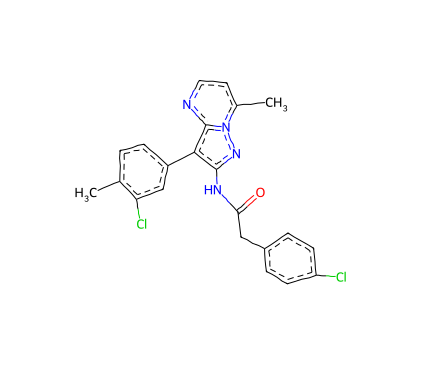 Cc1ccc(-c2c(NC(=O)Cc3ccc(Cl)cc3)nn3c(C)ccnc23)cc1Cl